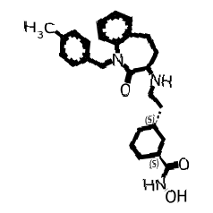 Cc1ccc(CN2C(=O)C(NCC[C@H]3CCC[C@H](C(=O)NO)C3)CCc3ccccc32)cc1